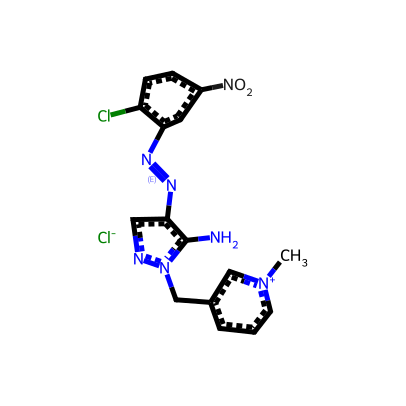 C[n+]1cccc(Cn2ncc(/N=N/c3cc([N+](=O)[O-])ccc3Cl)c2N)c1.[Cl-]